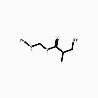 CC(C)CC(C)C(=S)NCNC(C)C